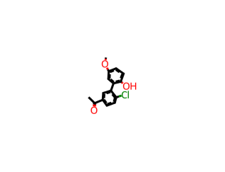 COc1ccc(O)c(-c2cc(C(C)=O)ccc2Cl)c1